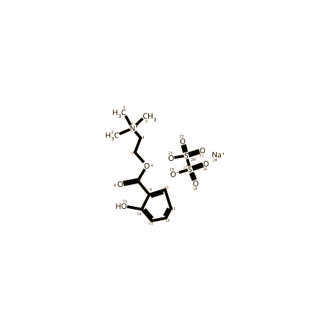 C[N+](C)(C)CCOC(=O)c1ccccc1O.O=S(=O)([O-])S(=O)(=O)[O-].[Na+]